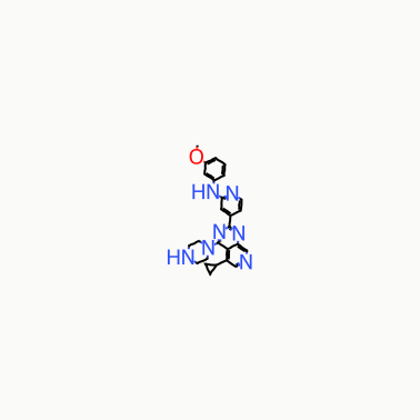 COc1cccc(Nc2cc(-c3nc(N4CCNCC4)c4c(C5CC5)cncc4n3)ccn2)c1